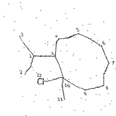 CC(C)C1CCCCCCC1(C)Cl